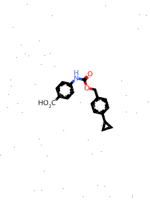 O=C(Nc1ccc(C(=O)O)cc1)OCc1ccc(C2CC2)cc1